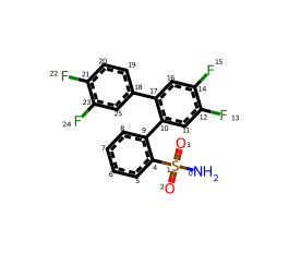 NS(=O)(=O)c1ccccc1-c1cc(F)c(F)cc1-c1ccc(F)c(F)c1